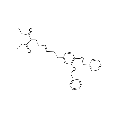 CCC(=O)C(CC/C=C/CCc1ccc(OCc2ccccc2)c(OCc2ccccc2)c1)C(=O)CC